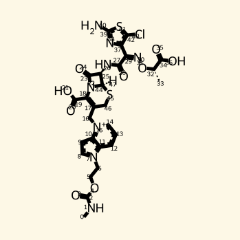 CNC(=O)OCCn1ccc2c1ccc[n+]2CC1=C(C(=O)O)N2C(=O)[C@@H](NC(=O)/C(=N\O[C@@H](C)C(=O)O)c3nc(N)sc3Cl)[C@H]2SC1